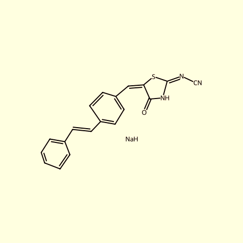 N#C/N=C1\NC(=O)/C(=C\c2ccc(/C=C/c3ccccc3)cc2)S1.[NaH]